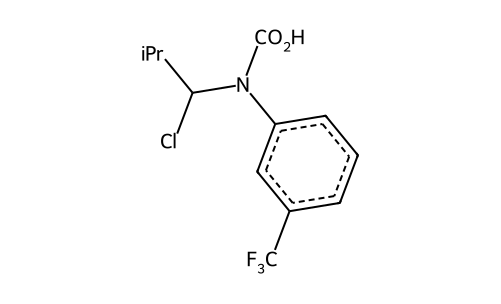 CC(C)C(Cl)N(C(=O)O)c1cccc(C(F)(F)F)c1